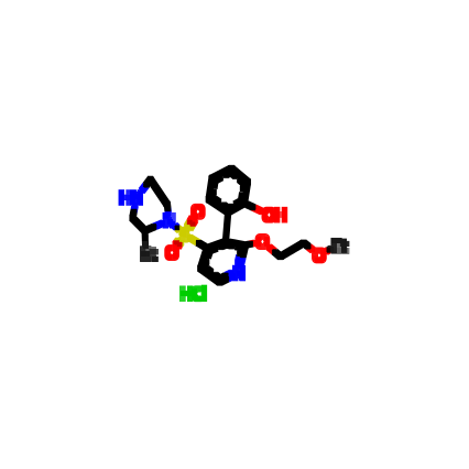 CCOCCOc1nccc(S(=O)(=O)N2CCNCC2CC)c1-c1ccccc1O.Cl